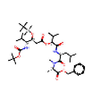 CC(C)C[C@H](NC(=O)[C@@H](OC(=O)C[C@H](O[Si](C)(C)C(C)(C)C)[C@H](NC(=O)OC(C)(C)C)C(C)C)C(C)C)C(=O)N(C)[C@@H](C)C(=O)OCc1ccccc1